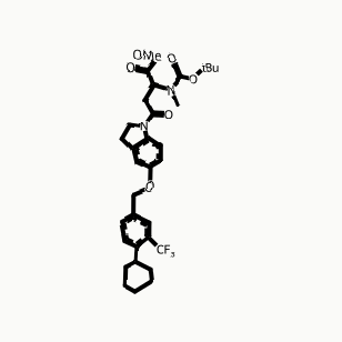 COC(=O)C(CC(=O)N1CCc2cc(OCc3ccc(C4CCCCC4)c(C(F)(F)F)c3)ccc21)N(C)C(=O)OC(C)(C)C